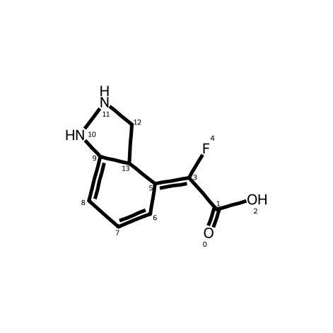 O=C(O)C(F)=C1C=CC=C2NNCC21